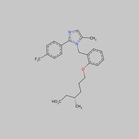 Cc1cnc(-c2ccc(C(F)(F)F)cc2)n1Cc1ccccc1OCCC[C@H](C)CC(=O)O